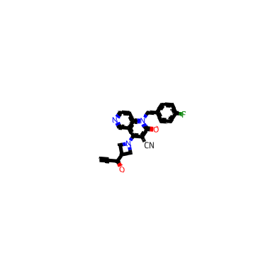 C#CC(=O)C1CN(c2c(C#N)c(=O)n(Cc3ccc(F)cc3)c3ccncc23)C1